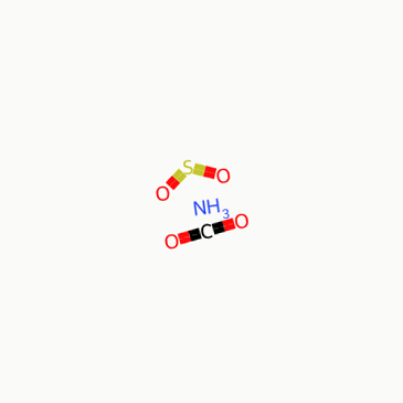 N.O=C=O.O=S=O